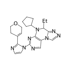 CCC1c2nncn2-c2cnc(-n3ccnc3C3=CCOCC3)nc2N1C1CCCC1